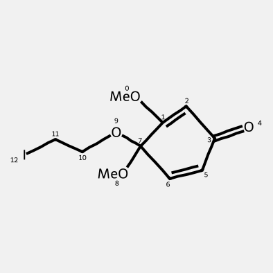 COC1=CC(=O)C=CC1(OC)OCCI